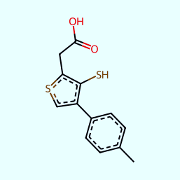 Cc1ccc(-c2csc(CC(=O)O)c2S)cc1